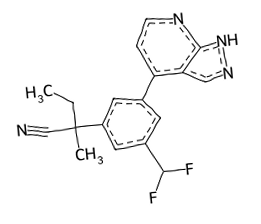 CCC(C)(C#N)c1cc(-c2ccnc3[nH]ncc23)cc(C(F)F)c1